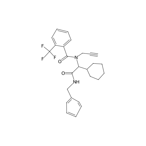 C#CCN(C(=O)c1ccccc1C(F)(F)F)C(C(=O)NCc1ccccc1)C1CCCCC1